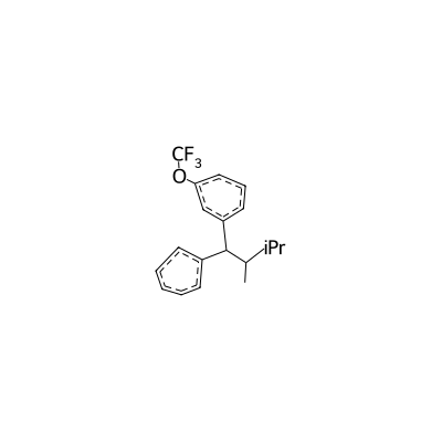 CC(C)C(C)C(c1ccccc1)c1cccc(OC(F)(F)F)c1